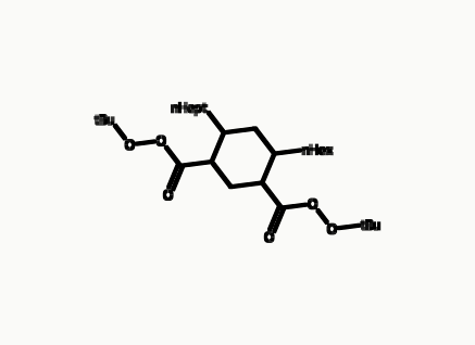 CCCCCCCC1CC(CCCCCC)C(C(=O)OOC(C)(C)C)CC1C(=O)OOC(C)(C)C